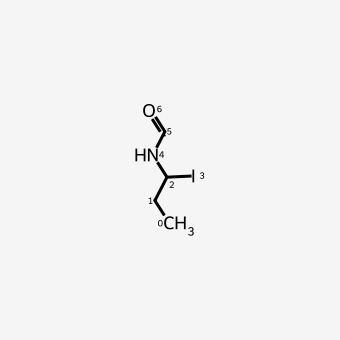 CCC(I)N[C]=O